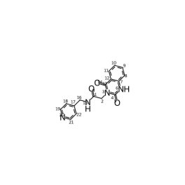 O=C(Cn1c(=O)[nH]c2ccccc2c1=O)NCc1ccncc1